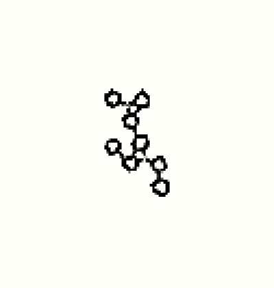 c1ccc(-c2cccc(-n3c4ccc(-c5ccc6c(c5)c5ccccc5n6-c5ccccc5)cc4c4c(-c5ccccc5)cccc43)c2)cc1